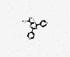 CC(C)c1nc(-c2ccncc2)nc(-c2ccncc2)n1